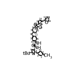 Cc1ccc(-n2nc(C(C)(C)C)cc2NC(=O)Nc2ccc(CC3CCN(S(=O)(=O)c4ccc(-c5cnco5)s4)CC3)cc2)cc1